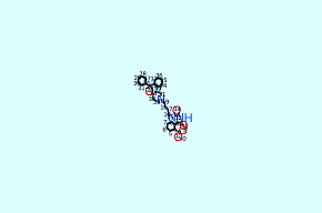 COC(=O)c1cccc2c1c(=O)[nH]c(=O)n2CCCCN1CCC(OC(c2ccccc2)c2ccccc2)CC1